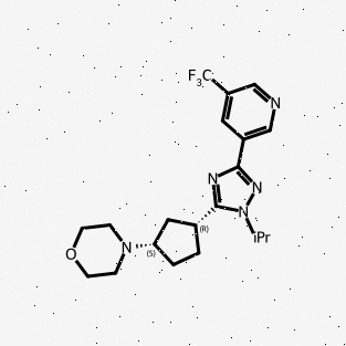 CC(C)n1nc(-c2cncc(C(F)(F)F)c2)nc1[C@@H]1CC[C@H](N2CCOCC2)C1